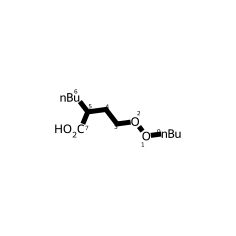 CCCCOOCCC(CCCC)C(=O)O